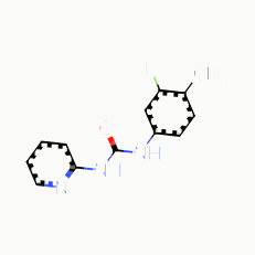 Cc1ccc(NC(=O)Nc2ccccn2)cc1F